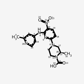 Cc1cc(Nc2nc(N3CCN(C(=O)O)[C@H](C)C3)ccc2[N+](=O)[O-])ccn1